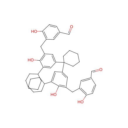 O=Cc1ccc(O)c(Cc2cc(C3(c4cc(Cc5cc(C=O)ccc5O)c(O)c(C5CCCCC5)c4)CCCCC3)cc(C3CCCCC3)c2O)c1